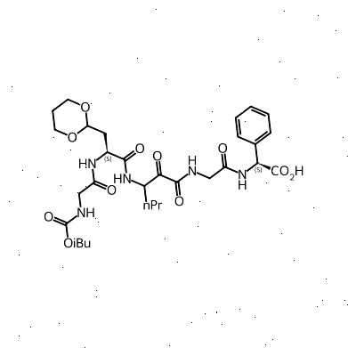 CCCC(NC(=O)[C@H](CC1OCCCO1)NC(=O)CNC(=O)OCC(C)C)C(=O)C(=O)NCC(=O)N[C@H](C(=O)O)c1ccccc1